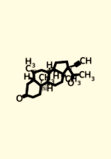 C#C[C@]1(C(C)=O)CC[C@H]2[C@@H]3C[C@H](C)[C@H]4CC(=O)CC[C@]4(C)[C@H]3CC[C@@]21C